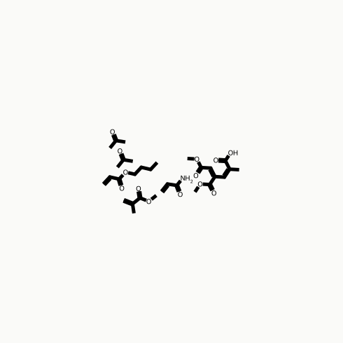 C=C(C)C(=O)OC.C=CC(=O)OCCCC.C=CC(N)=O.CC(C)=O.CC(C)=O.COC(=O)C=C(C=C(C)C(=O)O)C(=O)OC